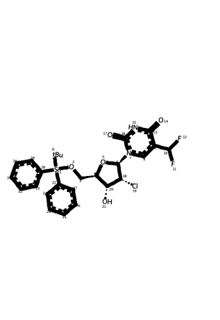 CC(C)(C)[Si](OC[C@H]1O[C@@H](n2cc(C(F)F)c(=O)[nH]c2=O)[C@H](Cl)[C@@H]1O)(c1ccccc1)c1ccccc1